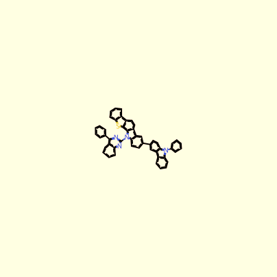 c1ccc(-c2nc(-n3c4ccc(-c5ccc6c(c5)c5ccccc5n6-c5ccccc5)cc4c4ccc5c6ccccc6sc5c43)nc3ccccc23)cc1